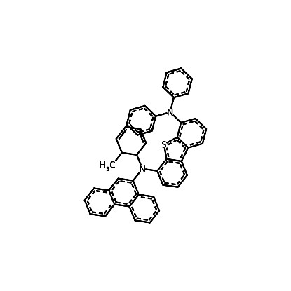 CC1C=CC=CC1N(c1cc2ccccc2c2ccccc12)c1cccc2c1sc1c(N(c3ccccc3)c3ccccc3)cccc12